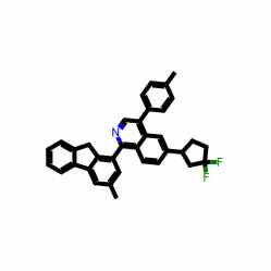 Cc1ccc(-c2cnc(-c3cc(C)cc4c3Cc3ccccc3-4)c3ccc(C4CCC(F)(F)C4)cc23)cc1